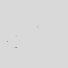 CSCOC(=O)OCCN1CCOCC1